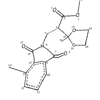 COC(=O)C(CN1C(=O)c2cccc(C)c2C1=O)C1(C)OCCO1